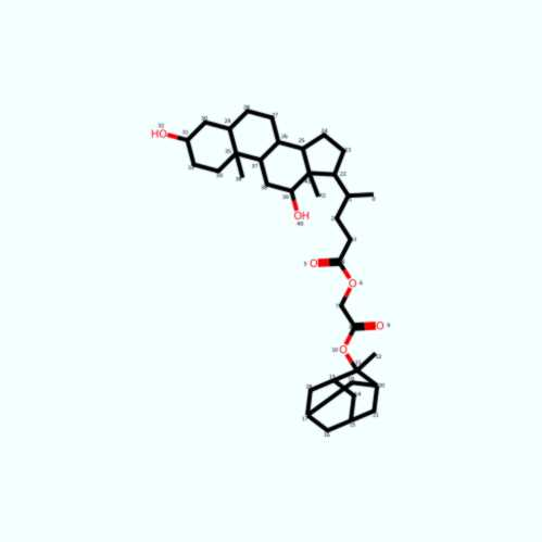 CC(CCC(=O)OCC(=O)OC1(C)C2CC3CC(C2)CC1C3)C1CCC2C3CCC4CC(O)CCC4(C)C3CC(O)C12C